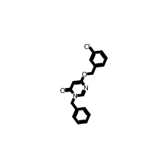 O=c1cc(OCc2cccc(Cl)c2)ncn1Cc1ccccc1